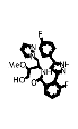 COC(CO)C(Cn1cccn1)NC(=O)c1cccc(F)c1-c1cc(-c2ccc(F)cc2)[nH]n1